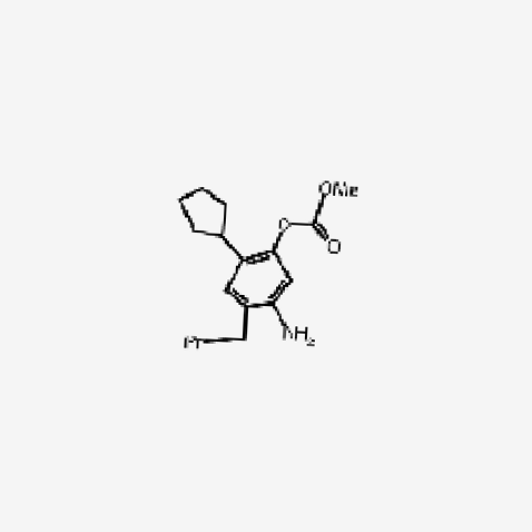 COC(=O)Oc1cc(N)c(CC(C)C)cc1C1CCCC1